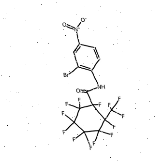 O=C(Nc1ccc([N+](=O)[O-])cc1Br)C1(F)C(F)(F)C(F)(F)C(F)(F)C(F)(F)C1(F)C(F)(F)F